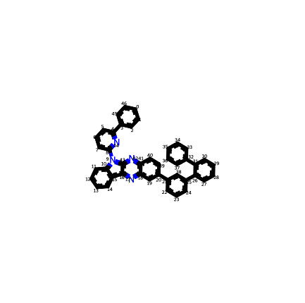 c1ccc(-c2cccc(-n3c4ccccc4c4nc5cc(-c6cccc(-c7ccccc7-c7ccccc7)c6)ccc5nc43)n2)cc1